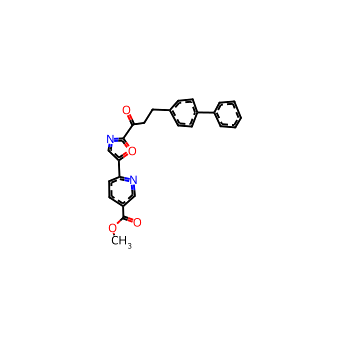 COC(=O)c1ccc(-c2cnc(C(=O)CCc3ccc(-c4ccccc4)cc3)o2)nc1